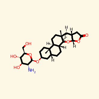 C[C@]12CC[C@H](O[C@@H]3O[C@H](CO)[C@@H](O)[C@H](O)[C@H]3N)C[C@H]1CC[C@@H]1[C@@H]2CC[C@]2(C)[C@@H]3CC[C@]12O[C@H]1OC(=O)C[C@H]13